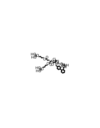 CCCCc1nc(Cl)c(C(=O)N[C@@H](CCC(=O)OCCCCON(O)O)C(=O)OCCCCON(O)O)n1Cc1ccc(-c2ccccc2-c2nn[nH]n2)cc1